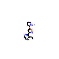 CCc1nccnc1-c1cc([C@@H]2CCCN2)on1